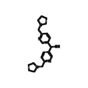 OC(c1ccc(CN2CCCC2)nc1)c1ccc(CN2CCCC2)nc1